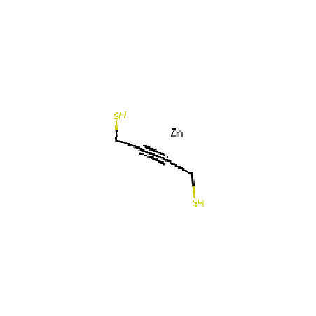 SCC#CCS.[Zn]